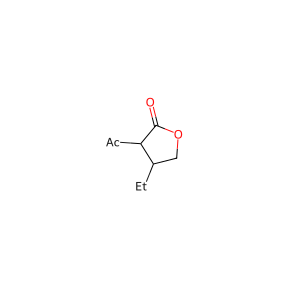 CCC1COC(=O)C1C(C)=O